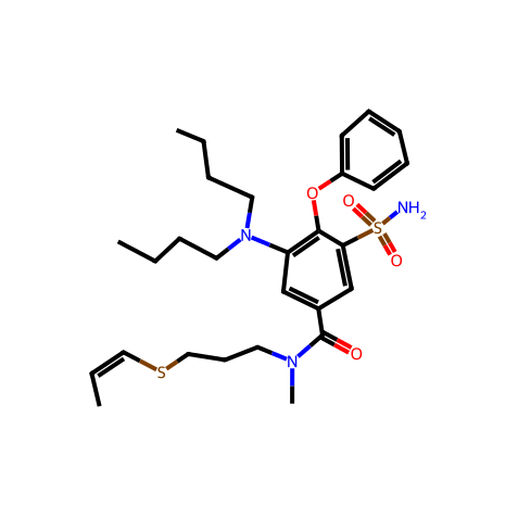 C/C=C\SCCCN(C)C(=O)c1cc(N(CCCC)CCCC)c(Oc2ccccc2)c(S(N)(=O)=O)c1